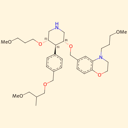 COCCCO[C@@H]1CNC[C@H](OCc2ccc3c(c2)N(CCCOC)CCO3)[C@H]1c1ccc(COCC(C)COC)cc1